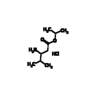 CC(C)OC(=O)CC(N)C(C)C.Cl